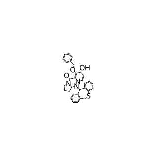 O=C1C2=C(OCc3ccccc3)C(O)C=CN2N(C2c3ccccc3CSc3ccccc32)C2CCCN12